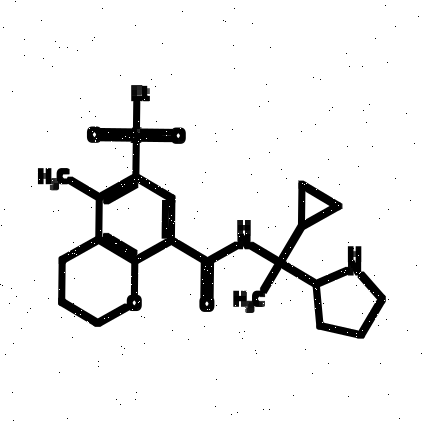 CCS(=O)(=O)c1cc(C(=O)NC(C)(C2CC2)C2CCCN2)c2c(c1C)CCCO2